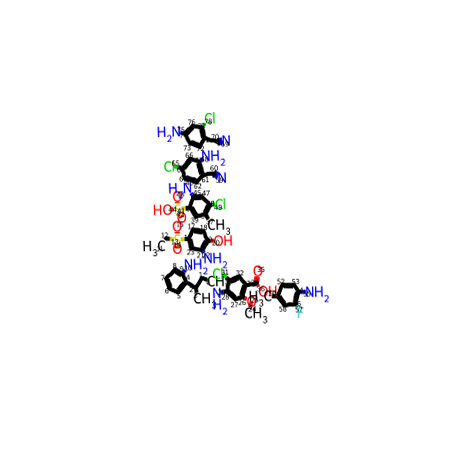 CCC(C)c1ccccc1N.CCS(=O)(=O)c1ccc(O)c(N)c1.COc1cc(N)c(Cl)cc1C(=O)O.Cc1cc(S(=O)(=O)O)c(N)cc1Cl.Cc1ccc(N)c(F)c1.N#Cc1ccc(Cl)cc1N.N#Cc1ccc(N)cc1Cl